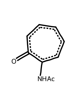 CC(=O)Nc1cccccc1=O